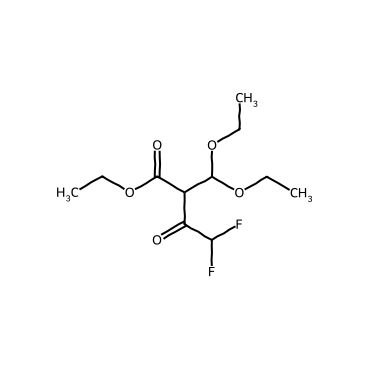 CCOC(=O)C(C(=O)C(F)F)C(OCC)OCC